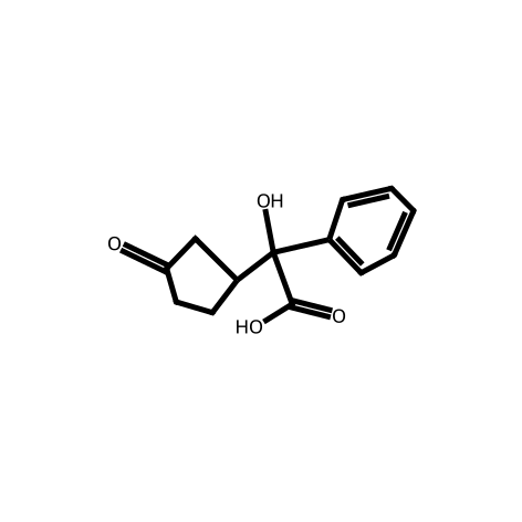 O=C1CCC(C(O)(C(=O)O)c2ccccc2)C1